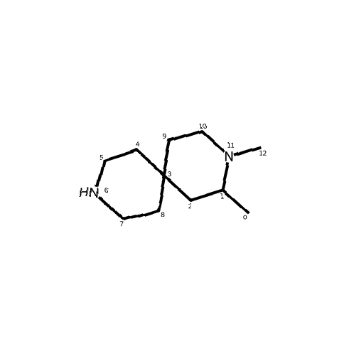 CC1CC2(CCNCC2)CCN1C